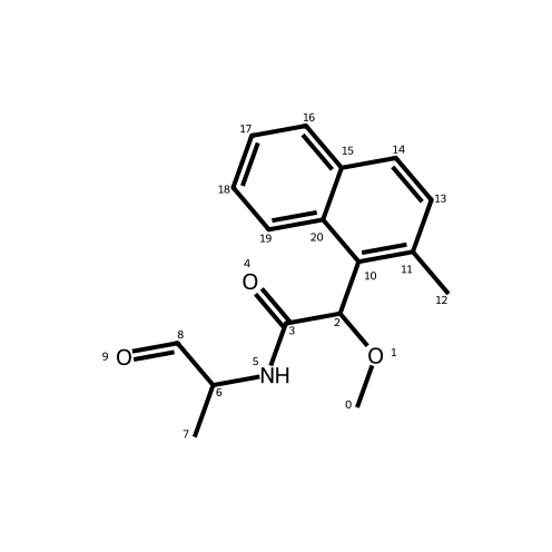 COC(C(=O)NC(C)C=O)c1c(C)ccc2ccccc12